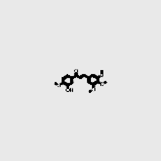 COc1ccc(C(=O)/C=C/c2cc(OC)c(OC)c(OC)c2)cc1O